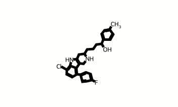 Cc1ccc(C(O)CCCC2Cc3[nH]c4c(Cl)ccc(-c5ccc(F)cc5)c4c3CN2)cc1